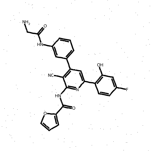 N#Cc1c(-c2cccc(NC(=O)CN)c2)cc(-c2ccc(F)cc2O)nc1NC(=O)c1ccco1